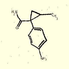 CC1CC1(C(N)=O)c1ccc(N)cc1